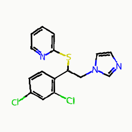 Clc1ccc(C(Cn2ccnc2)Sc2ccccn2)c(Cl)c1